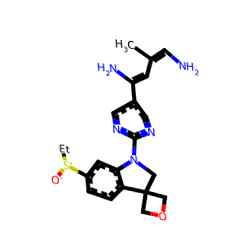 CC[S+]([O-])c1ccc2c(c1)N(c1ncc(/C(N)=C/C(C)=C\N)cn1)CC21COC1